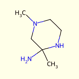 CN1CCNC(C)(N)C1